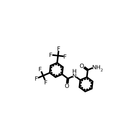 NC(=O)c1ccccc1NC(=O)c1cc(C(F)(F)F)cc(C(F)(F)F)c1